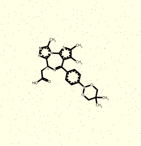 Cc1sc2c(c1C)C(c1ccc(B3OCC(C)(C)CO3)cc1)=N[C@@H](CC(=O)O)c1nnc(C)n1-2